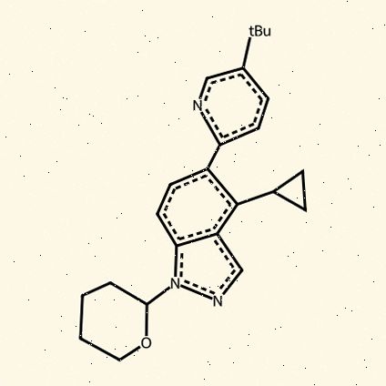 CC(C)(C)c1ccc(-c2ccc3c(cnn3C3CCCCO3)c2C2CC2)nc1